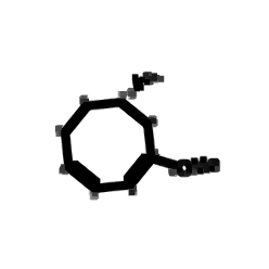 COC1=CC=CCCCC1.[Ir+2]